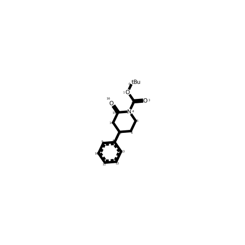 CC(C)(C)OC(=O)N1CCC(c2ccccc2)CC1=O